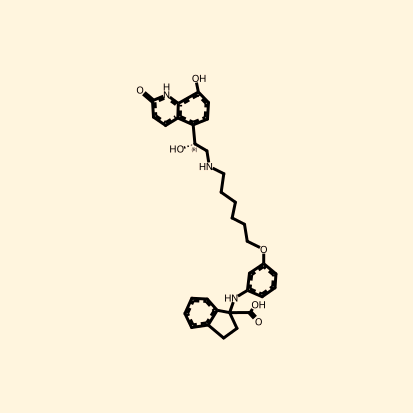 O=C(O)C1(Nc2cccc(OCCCCCCNC[C@H](O)c3ccc(O)c4[nH]c(=O)ccc34)c2)CCc2ccccc21